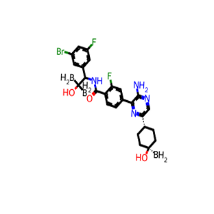 BC(B)(O)C(NC(=O)c1ccc(-c2nc([C@H]3CC[C@](B)(O)CC3)cnc2N)cc1F)c1cc(F)cc(Br)c1